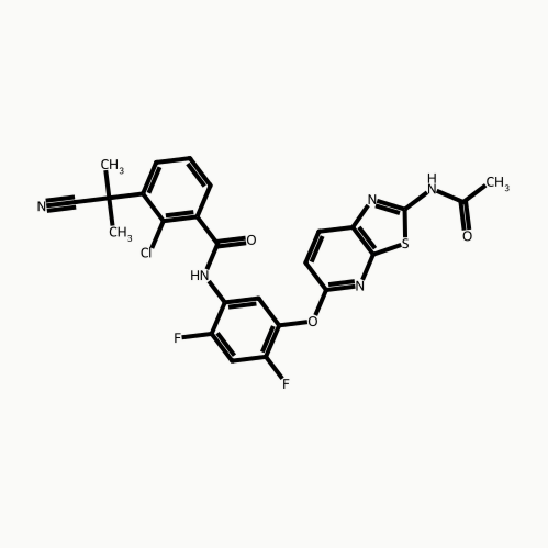 CC(=O)Nc1nc2ccc(Oc3cc(NC(=O)c4cccc(C(C)(C)C#N)c4Cl)c(F)cc3F)nc2s1